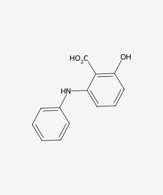 O=C(O)c1c(O)cccc1Nc1ccccc1